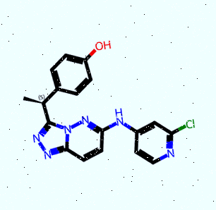 C[C@@H](c1ccc(O)cc1)c1nnc2ccc(Nc3ccnc(Cl)c3)nn12